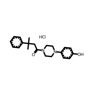 CC(C)(CC(=O)N1CCN(c2ccc(O)cc2)CC1)c1ccccc1.Cl